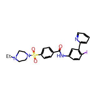 CCN1CCN(S(=O)(=O)c2ccc(C(=O)Nc3ccc(I)c(-c4ccccn4)c3)cc2)CC1